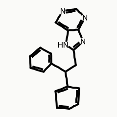 c1ccc(C(Cc2nc3ncncc3[nH]2)c2ccccc2)cc1